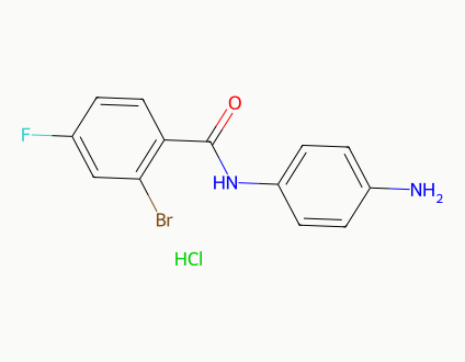 Cl.Nc1ccc(NC(=O)c2ccc(F)cc2Br)cc1